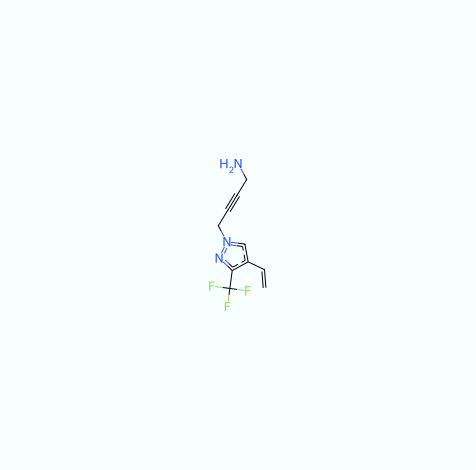 C=Cc1cn(CC#CCN)nc1C(F)(F)F